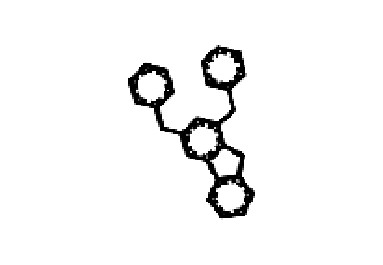 c1ccc(Cc2cc(Cc3ccccc3)c3c(c2)-c2ccccc2C3)cc1